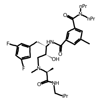 CCCN(CCC)C(=O)c1cc(C)cc(C(=O)N[C@@H](Cc2cc(F)cc(F)c2)[C@H](O)CN(C)[C@@H](C)C(=O)NCC(C)C)c1